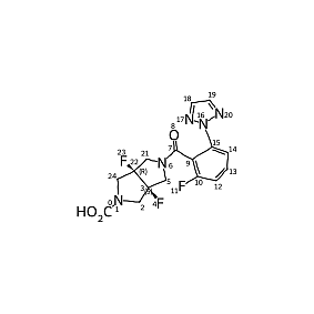 O=C(O)N1C[C@@]2(F)CN(C(=O)c3c(F)cccc3-n3nccn3)C[C@@]2(F)C1